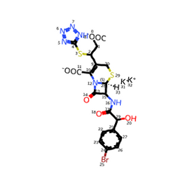 O=C([O-])CC(Sc1nnn[nH]1)C1=C(C(=O)[O-])N2C(=O)C(NC(=O)C(O)c3ccc(Br)cc3)[C@@H]2SC1.[K+].[K+]